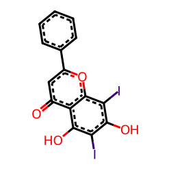 O=c1cc(-c2ccccc2)oc2c(I)c(O)c(I)c(O)c12